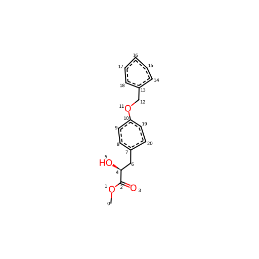 COC(=O)[C@@H](O)Cc1ccc(OCc2ccccc2)cc1